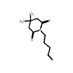 CC1(C)CC(=O)N(CCCCI)C(=O)C1